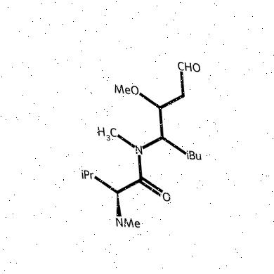 CCC(C)C(C(CC=O)OC)N(C)C(=O)[C@@H](NC)C(C)C